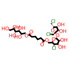 O=C(CCCCC(=O)OC[C@@H](O)[C@@H](O)[C@H](O)[C@H](O)CO)OCC1O[C@H](O[C@]2(CCl)O[C@H](CCl)C(O)C2O)C(O)C(O)[C@H]1Cl